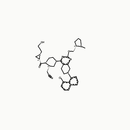 CN1CCC[C@H]1COc1nc2c(c(N3CCN(C(=O)[C@@H]4CN4CCO)[C@@H](CC#N)C3)n1)CCN(c1cccc3cccc(Cl)c13)C2